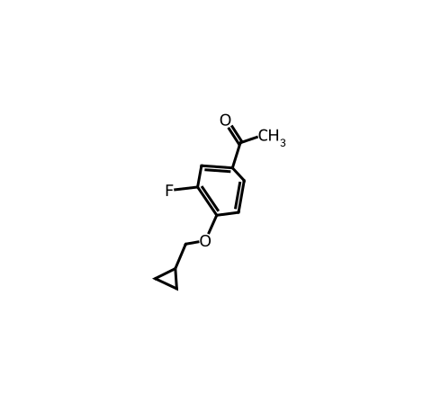 CC(=O)c1ccc(OCC2CC2)c(F)c1